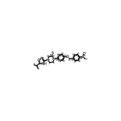 CC(C)C1NC(N2CCN(c3ncc(OCc4ccc([S+](C)[O-])cc4)cn3)[C@H](C)C2)=NO1